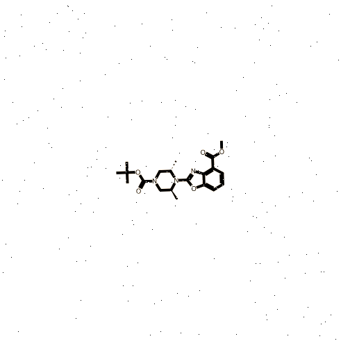 COC(=O)c1cccc2oc(N3[C@@H](C)CN(C(=O)OC(C)(C)C)C[C@@H]3C)nc12